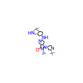 CC(C)(C)c1cc(-n2c3cc(Nc4ccc5c(c4)CNCC5(C)C)ncc3c(=O)n2C2CC2)ccn1